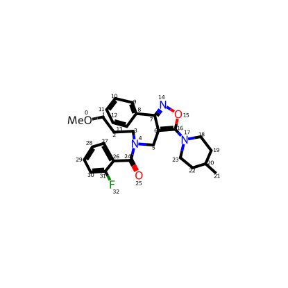 COCCCN(Cc1c(-c2ccccc2)noc1N1CCC(C)CC1)C(=O)c1ccccc1F